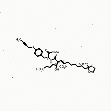 CC#CCOc1ccc(C[C@H](NC(=O)[C@@H](/C=C/CCCCCCC2(CCCCCCC)OCCO2)[C@@](O)(CCCC(=O)O)C(=O)O)C(=O)OC)cc1